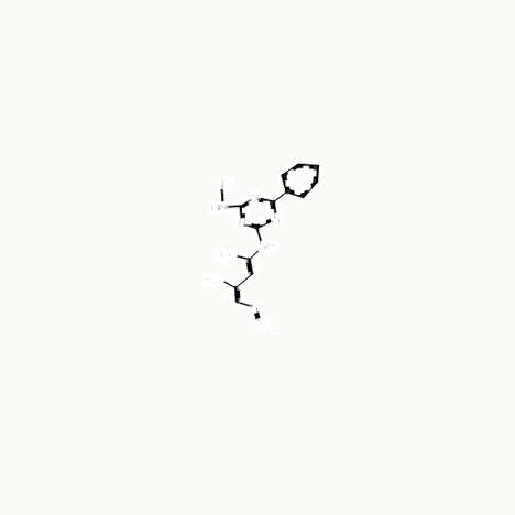 C=N/C=C(\C=C(/C)Nc1nc(NC(C)C)nc(-c2ccccc2)n1)C(F)(F)F